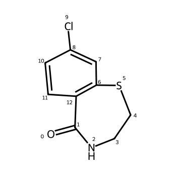 O=C1NCCSc2cc(Cl)ccc21